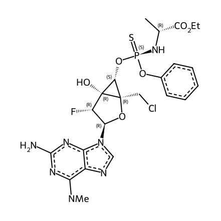 CCOC(=O)[C@@H](C)N[P@@](=S)(Oc1ccccc1)O[C@H]1[C@]2(O)[C@@H](F)[C@H](n3cnc4c(NC)nc(N)nc43)O[C@]12CCl